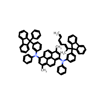 C=C/C=C\C=C(/C)C1(c2cccc(N(c3ccccc3)c3cc(C)c4ccc5c(N(c6ccccc6)c6cccc(C7(c8ccccc8)c8ccccc8-c8ccccc87)c6)cc(C)c6ccc3c4c65)c2)c2ccccc2-c2ccccc21